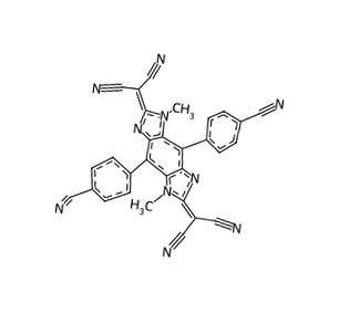 Cn1c(=C(C#N)C#N)nc2c(-c3ccc(C#N)cc3)c3c(nc(=C(C#N)C#N)n3C)c(-c3ccc(C#N)cc3)c21